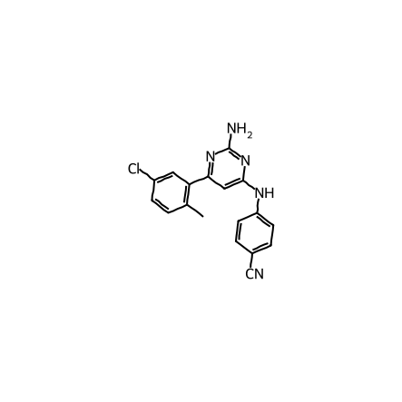 Cc1ccc(Cl)cc1-c1cc(Nc2ccc(C#N)cc2)nc(N)n1